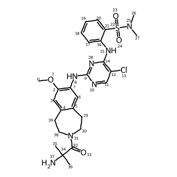 COc1cc2c(cc1Nc1ncc(Cl)c(Nc3ccccc3S(=O)(=O)N(C)C)n1)CCN(C(=O)C(C)(C)N)CC2